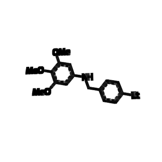 CCc1ccc(CNc2cc(OC)c(OC)c(OC)c2)cc1